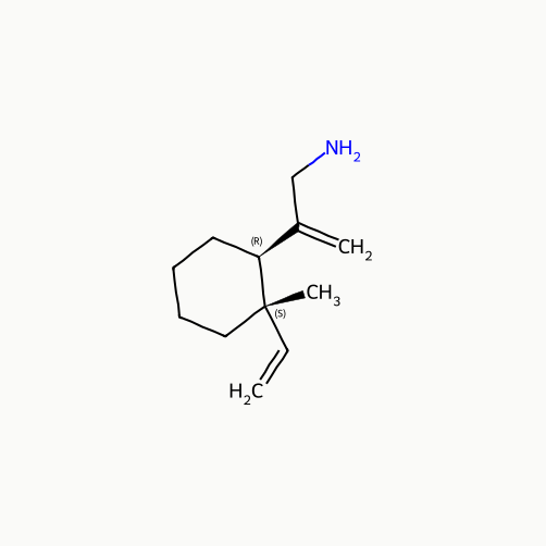 C=C[C@]1(C)CCCC[C@H]1C(=C)CN